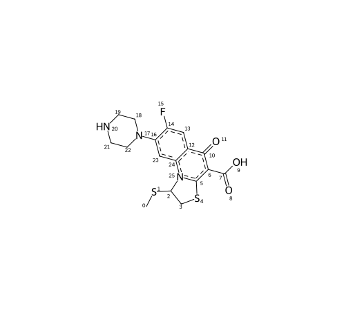 CSC1CSc2c(C(=O)O)c(=O)c3cc(F)c(N4CCNCC4)cc3n21